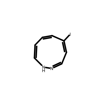 Ic1cccc[nH]ncc1